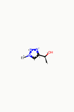 CCn1cc([C@H](C)O)nn1